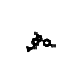 O[C@H]1CC[C@H](n2cc(Br)c3cnc(NC4CC4)nc32)CC1